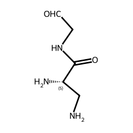 NC[C@H](N)C(=O)NCC=O